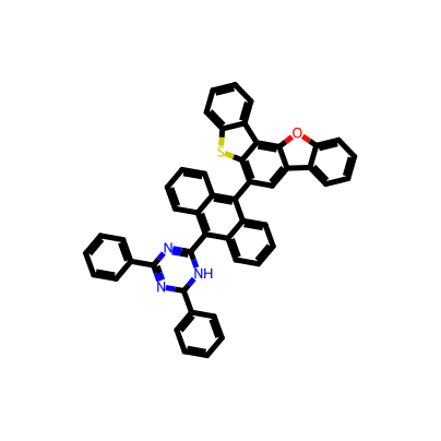 c1ccc(C2=NC(c3ccccc3)NC(c3c4ccccc4c(-c4cc5c6ccccc6oc5c5c4sc4ccccc45)c4ccccc34)=N2)cc1